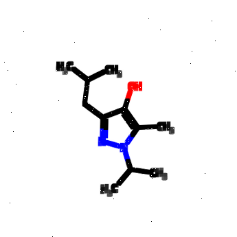 Cc1c(O)c(CC(C)C)nn1C(C)C